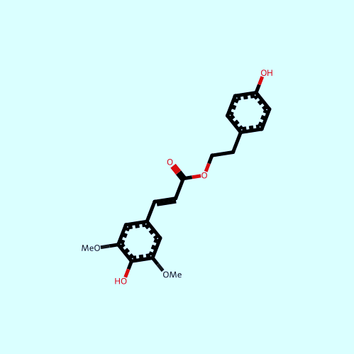 COc1cc(/C=C/C(=O)OCCc2ccc(O)cc2)cc(OC)c1O